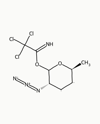 C[C@H]1[CH][CH][C@H](N=[N+]=[N-])C(OC(=N)C(Cl)(Cl)Cl)O1